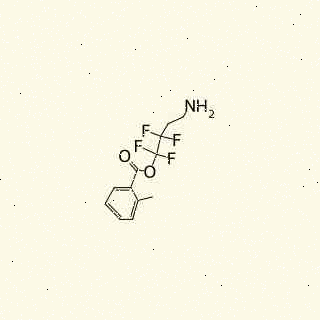 Cc1ccccc1C(=O)OC(F)(F)C(F)(F)CCN